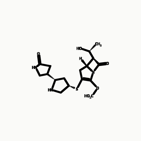 C[C@@H](O)[C@H]1C(=O)N2C(OC(=O)O)=C(S[C@@H]3CN[C@H](C4CNC(=O)C4)C3)C[C@H]12